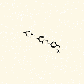 CN(Cc1ccc(CCn2ccc(OCc3ccc(Cl)cn3)cc2=O)cc1)C(C)(C)C